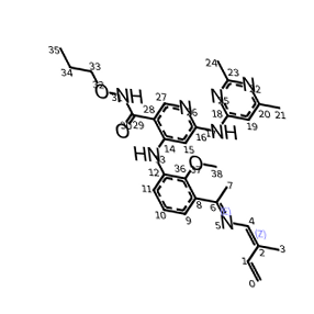 C=C/C(C)=C\N=C(/C)c1cccc(Nc2cc(Nc3cc(C)nc(C)n3)ncc2C(=O)NOCCC)c1OC